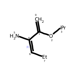 C=C(OC(C)C)/C(N)=C\CC